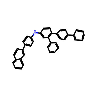 c1ccc(-c2ccc(-c3ccc(Nc4ccc(-c5ccc6ccccc6c5)cc4)cc3-c3ccccc3)cc2)cc1